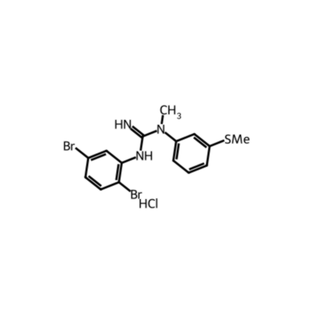 CSc1cccc(N(C)C(=N)Nc2cc(Br)ccc2Br)c1.Cl